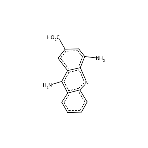 Nc1c2ccccc2nc2c(N)cc(C(=O)O)cc12